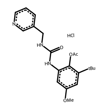 COc1cc(NC(=O)NCc2cccnc2)c(OC(C)=O)c(C(C)(C)C)c1.Cl